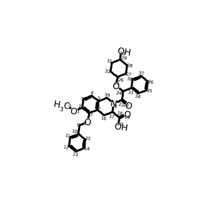 COc1ccc2c(c1OCc1ccccc1)CC(C(=O)O)N(C(=O)C(OC1CCC(O)CC1)c1ccccc1)C2